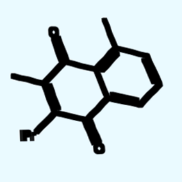 CC1=C(C(C)C)C(=O)c2cccc(C)c2C1=O